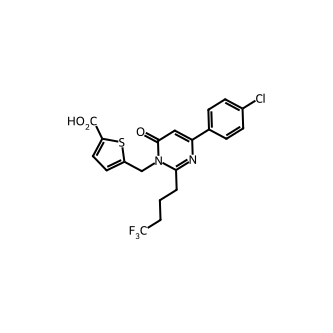 O=C(O)c1ccc(Cn2c(CCCC(F)(F)F)nc(-c3ccc(Cl)cc3)cc2=O)s1